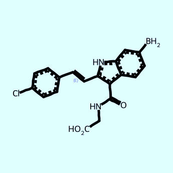 Bc1ccc2c(C(=O)NCC(=O)O)c(/C=C/c3ccc(Cl)cc3)[nH]c2c1